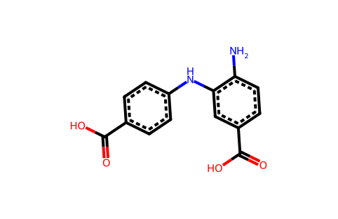 Nc1ccc(C(=O)O)cc1Nc1ccc(C(=O)O)cc1